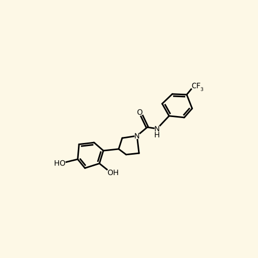 O=C(Nc1ccc(C(F)(F)F)cc1)N1CCC(c2ccc(O)cc2O)C1